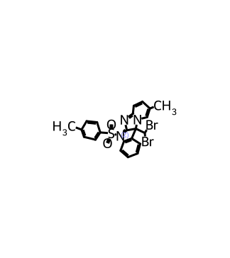 CC1=CN2C(=N/C(=N\S(=O)(=O)c3ccc(C)cc3)C2(c2ccccc2)C(Br)Br)C=C1